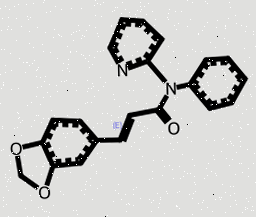 O=C(/C=C/c1ccc2c(c1)OCO2)N(c1ccccc1)c1ccccn1